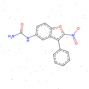 NC(=O)Nc1ccc2oc([N+](=O)[O-])c(-c3ccccc3)c2c1